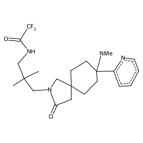 CNC1(c2ccccn2)CCC2(CC1)CC(=O)N(CC(C)(C)CNC(=O)C(F)(F)F)C2